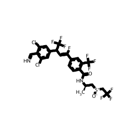 C[C@H](C[S+]([O-])CC(F)(F)F)NC(=O)c1ccc(/C(F)=C/C(c2cc(Cl)c(C=N)c(Cl)c2)C(F)(F)F)cc1C(F)(F)F